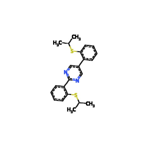 CC(C)Sc1ccccc1-c1cnc(-c2ccccc2SC(C)C)nc1